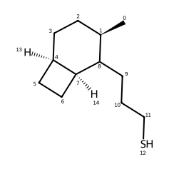 C[C@@H]1CC[C@@H]2CC[C@@H]2C1CCCS